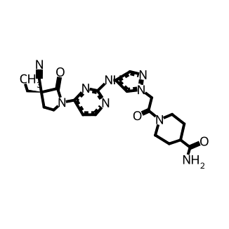 CC[C@]1(C#N)CCN(c2ccnc(Nc3cnn(CC(=O)N4CCC(C(N)=O)CC4)c3)n2)C1=O